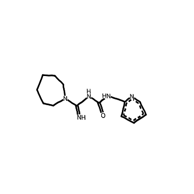 N=C(NC(=O)Nc1ccccn1)N1CCCCCC1